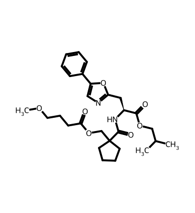 COCCCC(=O)OCC1(C(=O)N[C@@H](Cc2ncc(-c3ccccc3)o2)C(=O)OCC(C)C)CCCC1